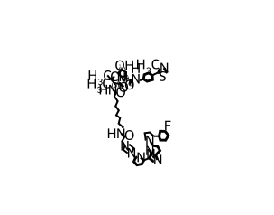 Cc1ncsc1-c1ccc(CNC(=O)[C@@H]2C[C@@H](O)CN2C(=O)[C@@H](NC(=O)CCCCCCCCNC(=O)CN2CCN(c3cccc(-c4cnc5ccc(N6CCCC6c6cccc(F)c6)nn45)n3)CC2)C(C)(C)C)cc1